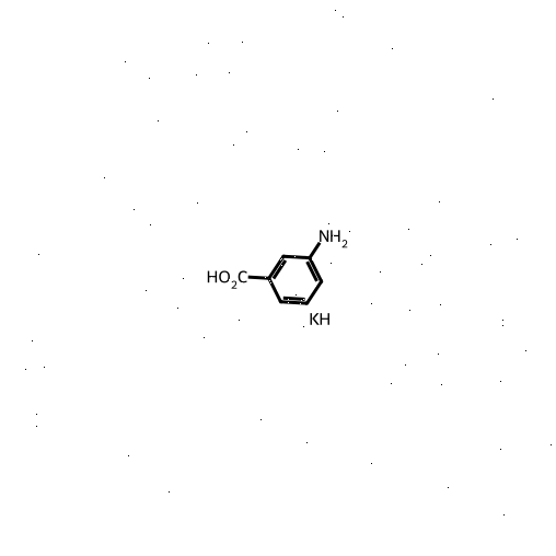 Nc1cccc(C(=O)O)c1.[KH]